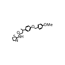 COc1ccc(COc2ccc(C(C)CC(=O)NC3=NCCS3)cc2)cc1